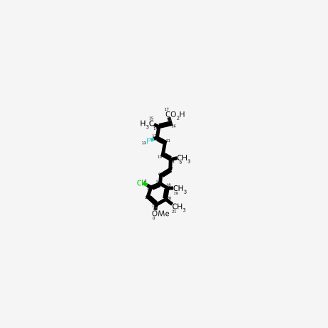 COc1cc(Cl)c(C=CC(C)=CC=C(F)C(C)=CC(=O)O)c(C)c1C